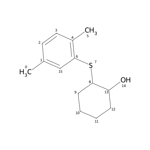 Cc1ccc(C)c(SC2CCCCC2O)c1